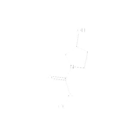 CC(C)OC(=O)N1CCC(O)C1